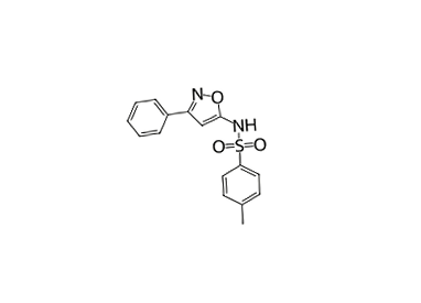 Cc1ccc(S(=O)(=O)Nc2cc(-c3ccccc3)no2)cc1